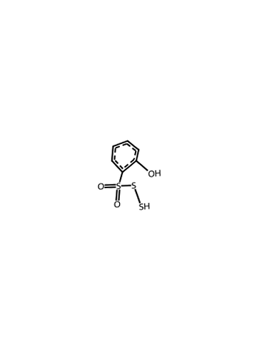 O=S(=O)(SS)c1ccccc1O